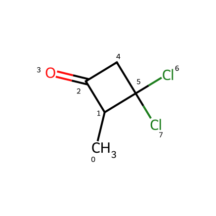 CC1C(=O)CC1(Cl)Cl